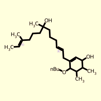 C/C=C(\C)CCCC(C)(O)CCC/C=C/CC1=CC(O)C(C)C(C)C1OCCCC